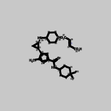 Cc1sc(C(=O)NC2CCC(F)(F)CC2)cc1[C@H]1C[C@@H]1NC1CCOCC1.O=C(O)/C=C/C(=O)O